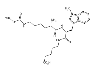 Cn1cc(C[C@H](NC(=O)[C@@H](N)CCCCNC(=O)OC(C)(C)C)C(=O)NCCCCC(=O)O)c2ccccc21